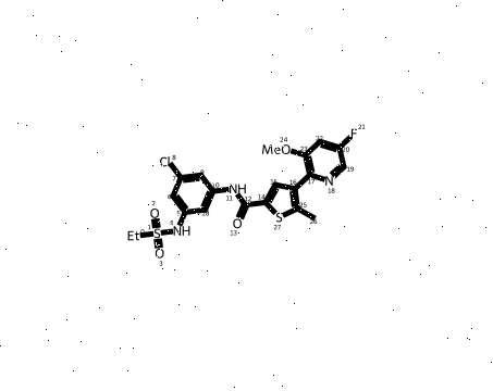 CCS(=O)(=O)Nc1cc(Cl)cc(NC(=O)c2cc(-c3ncc(F)cc3OC)c(C)s2)c1